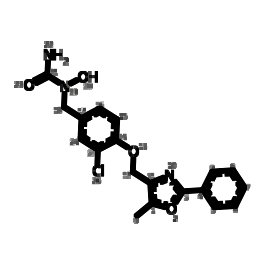 Cc1oc(-c2ccccc2)nc1COc1ccc(CN(O)C(N)=O)cc1Cl